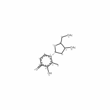 CC(=O)OCC1O[C@@H](n2ccc(=O)c(O)c2C)CC1OC(C)=O